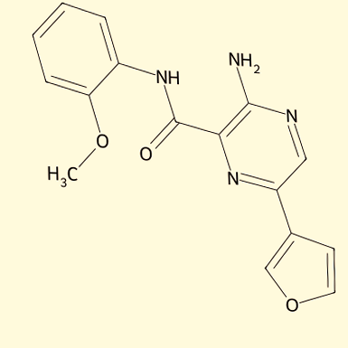 COc1ccccc1NC(=O)c1nc(-c2ccoc2)cnc1N